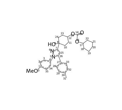 COc1ccc(-n2nc(C3(O)CCC(OC(=O)OC4CCCCC4)CC3)cc2-c2ccc(C)cc2)cc1